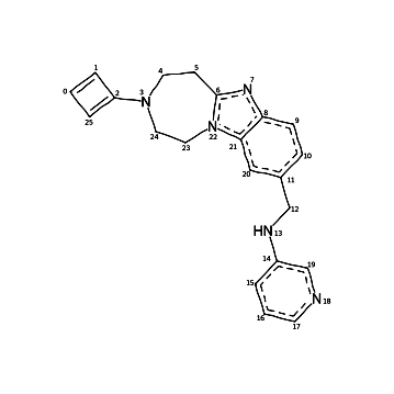 C1=CC(N2CCc3nc4ccc(CNc5cccnc5)cc4n3CC2)=C1